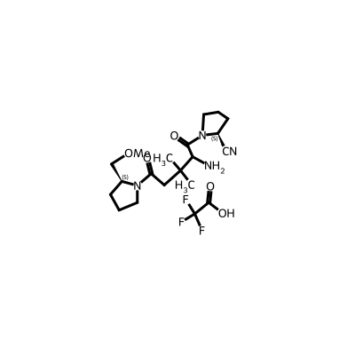 COC[C@@H]1CCCN1C(=O)CC(C)(C)C(N)C(=O)N1CCC[C@H]1C#N.O=C(O)C(F)(F)F